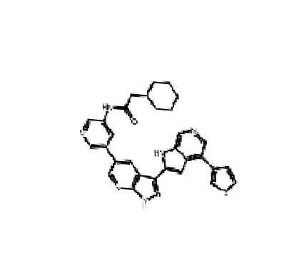 O=C(CC1CCCCC1)Nc1cncc(-c2cnc3[nH]nc(-c4cc5c(-c6ccsc6)cncc5[nH]4)c3c2)c1